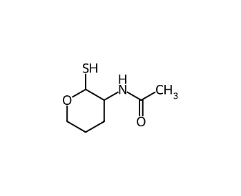 CC(=O)NC1CCCOC1S